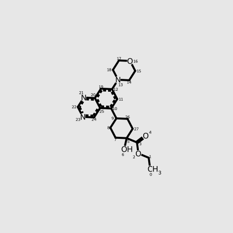 CCOC(=O)C1(O)CCC(c2cc(N3CCOCC3)cc3ncncc23)CC1